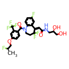 C[C@@H](F)COc1ccc(C(=O)N2CCC(F)(F)/C(=C\C(=O)NC[C@@H](O)CO)c3cc(F)ccc32)c(C(F)(F)F)c1